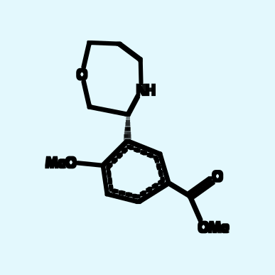 COC(=O)c1ccc(OC)c([C@@H]2COCCCN2)c1